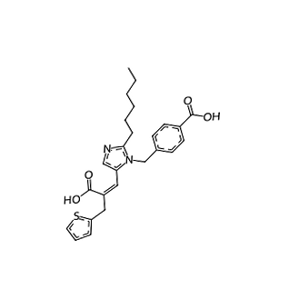 CCCCCCc1ncc(C=C(Cc2cccs2)C(=O)O)n1Cc1ccc(C(=O)O)cc1